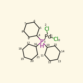 [Cl][Pd]([Cl])[PH](C1CCCCC1)(C1CCCCC1)C1CCCCC1